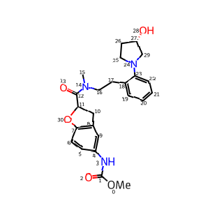 COC(=O)Nc1ccc2c(c1)CC(C(=O)N(C)CCc1ccccc1N1CC[C@H](O)C1)O2